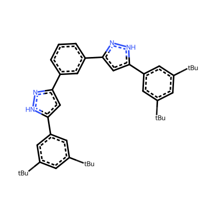 CC(C)(C)c1cc(-c2cc(-c3cccc(-c4cc(-c5cc(C(C)(C)C)cc(C(C)(C)C)c5)[nH]n4)c3)n[nH]2)cc(C(C)(C)C)c1